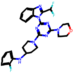 Fc1ccccc1NC1CCN(c2nc(N3CCOCC3)nc(-n3c(C(F)F)nc4ccccc43)n2)CC1